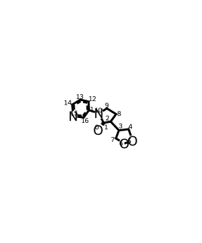 O=C1C(C2COOC2)CCN1c1cccnc1